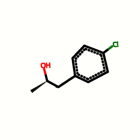 C[C@H](O)[CH]c1ccc(Cl)cc1